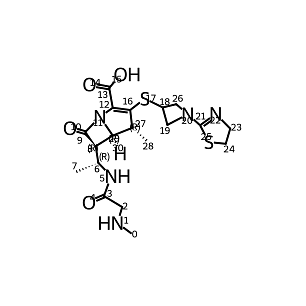 CNCC(=O)N[C@H](C)[C@H]1C(=O)N2C(C(=O)O)=C(SC3CN(C4=NCCS4)C3)[C@H](C)[C@@H]12